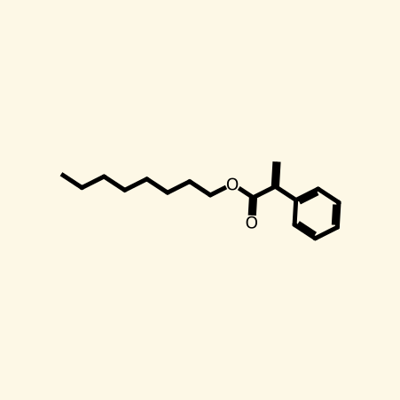 C=C(C(=O)OCCCCCCCC)c1ccccc1